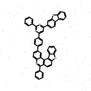 c1ccc(-c2nc(-c3ccc(-c4ccc5nc(-c6ccccc6)c6ccc7oc8ccccc8c7c6c5c4)cc3)cc(-c3ccc4c(c3)sc3ccccc34)n2)cc1